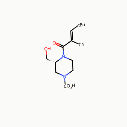 CC(C)(C)/C=C(\C#N)C(=O)N1CCN(C(=O)O)C[C@@H]1CO